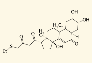 CCSCC(=O)CC(=O)[C@H]1CC[C@@]2(O)C3=CC(=O)[C@@H]4C[C@@H](O)[C@@H](O)C[C@]4(C)C3CC[C@]12C